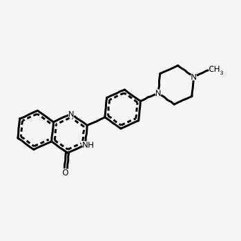 CN1CCN(c2ccc(-c3nc4ccccc4c(=O)[nH]3)cc2)CC1